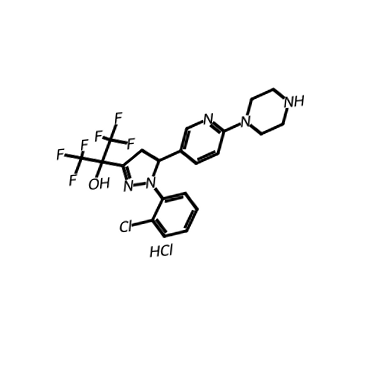 Cl.OC(C1=NN(c2ccccc2Cl)C(c2ccc(N3CCNCC3)nc2)C1)(C(F)(F)F)C(F)(F)F